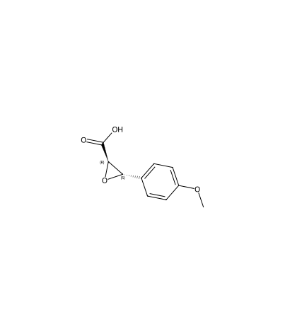 COc1ccc([C@@H]2O[C@H]2C(=O)O)cc1